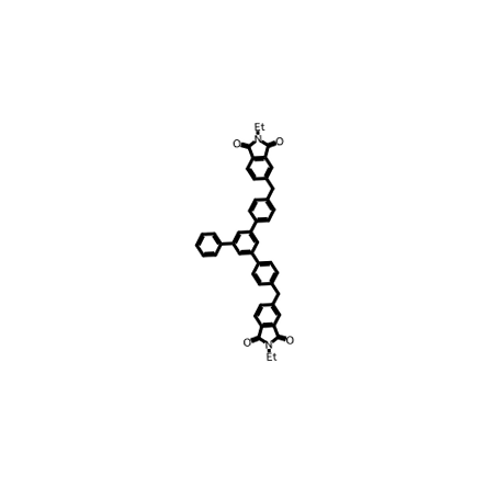 CCN1C(=O)c2ccc(Cc3ccc(-c4cc(-c5ccccc5)cc(-c5ccc(Cc6ccc7c(c6)C(=O)N(CC)C7=O)cc5)c4)cc3)cc2C1=O